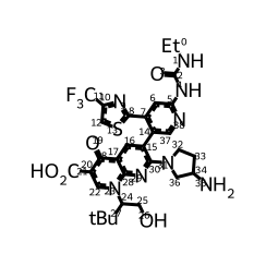 CCNC(=O)Nc1cc(-c2nc(C(F)(F)F)cs2)c(-c2cc3c(=O)c(C(=O)O)cn(C(CO)C(C)(C)C)c3nc2N2CCC(N)C2)cn1